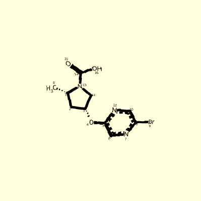 C[C@H]1C[C@@H](Oc2cnc(Br)cn2)CN1C(=O)O